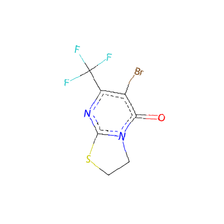 O=c1c(Br)c(C(F)(F)F)nc2n1CCS2